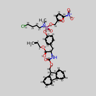 C=CCOC(=O)C(Cc1ccc(OP(=O)(OCc2ccc([N+](=O)[O-])o2)N(C)CCCCCl)cc1)NC(=O)OCC1c2ccccc2-c2ccccc21